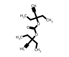 C#CC(CC)(CC)OC(=O)OC(C#C)(CC)CC